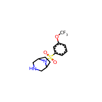 O=S(=O)(c1cccc(OC(F)(F)F)c1)N1C2CCC1CNC2